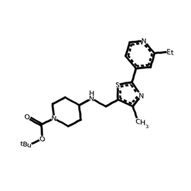 CCc1cc(-c2nc(C)c(CNC3CCN(C(=O)OC(C)(C)C)CC3)s2)ccn1